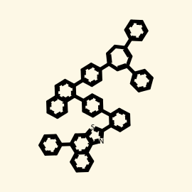 C1=C(c2ccccc2)C=C(c2ccccc2)CC=C1c1ccc(-c2ccc3ccccc3c2-c2ccc(-c3ccccc3-c3nc4c(cc(-c5ccccc5)c5ccccc54)s3)cc2)cc1